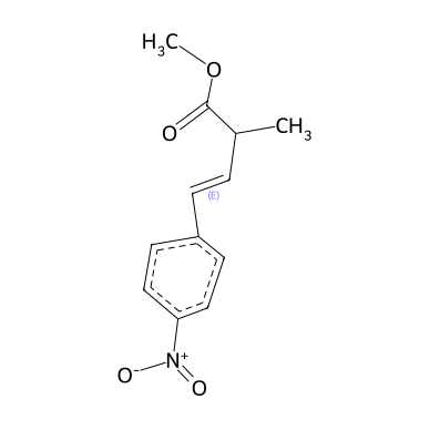 COC(=O)C(C)/C=C/c1ccc([N+](=O)[O-])cc1